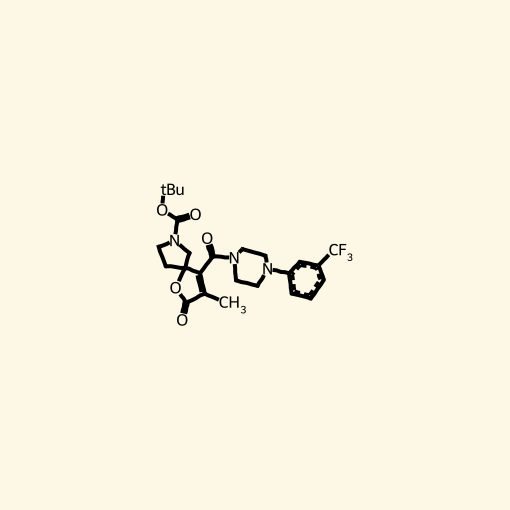 CC1=C(C(=O)N2CCN(c3cccc(C(F)(F)F)c3)CC2)C2(CCN(C(=O)OC(C)(C)C)C2)OC1=O